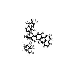 C=C(F)C(=O)N1CC[C@@H]2[C@H]1CN2c1c(C#N)c(OC[C@@]23CCCN2C[C@H](F)C3)nc2cc(-c3cccc4cccc(Cl)c34)c(F)cc12